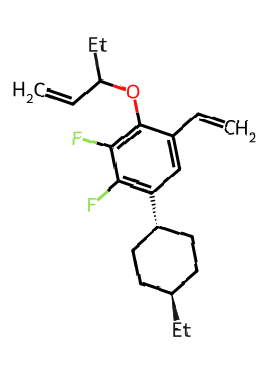 C=Cc1cc([C@H]2CC[C@H](CC)CC2)c(F)c(F)c1OC(C=C)CC